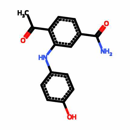 CC(=O)c1ccc(C(N)=O)cc1Nc1ccc(O)cc1